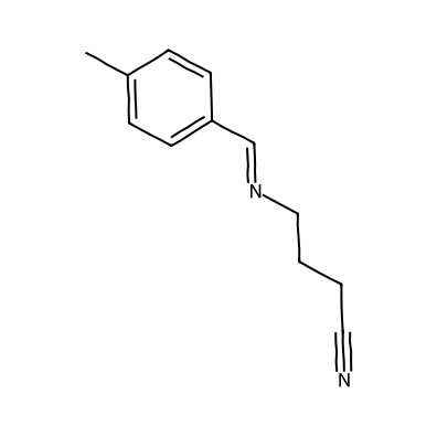 Cc1ccc(/C=N/CCCC#N)cc1